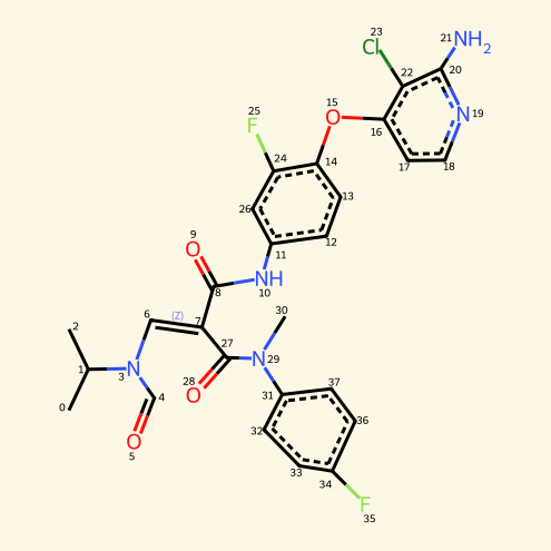 CC(C)N(C=O)/C=C(/C(=O)Nc1ccc(Oc2ccnc(N)c2Cl)c(F)c1)C(=O)N(C)c1ccc(F)cc1